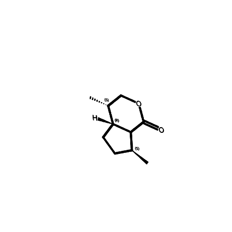 C[C@@H]1COC(=O)C2[C@@H](C)CC[C@@H]21